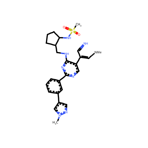 CN/C=C(\C=N)c1cnc(-c2cccc(-c3cnn(C)c3)c2)nc1NCC1CCCC1NS(C)(=O)=O